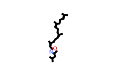 CC(C)=CCCC(C)=CCCC(C)=CCCC(C)=CC1=NC(CC(C)C)CO1